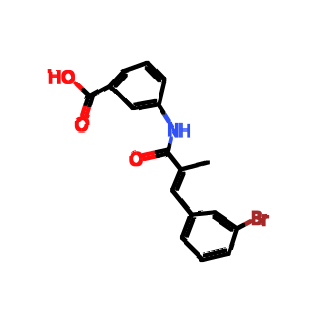 C/C(=C\c1cccc(Br)c1)C(=O)Nc1cccc(C(=O)O)c1